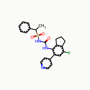 CC(c1ccccc1)S(=O)(=O)NC(=O)Nc1c(-c2ccncc2)cc(F)c2c1CCC2